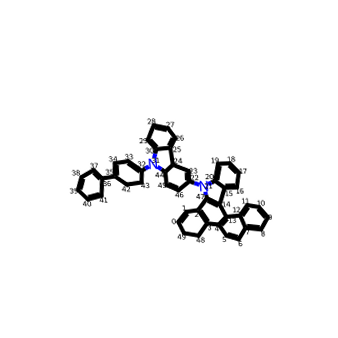 C1=Cc2c(c3ccc4ccccc4c3c3c4ccccc4n(C4=CC5c6ccccc6N(C6=CC=C(c7ccccc7)CC6)C5C=C4)c23)CC1